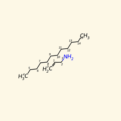 C=CCN.CCCCCCCCCCCC